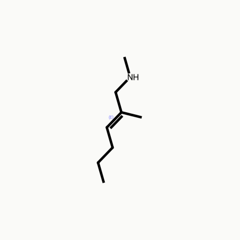 CCC/C=C(\C)CNC